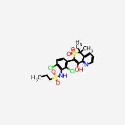 CCCS(=O)(=O)Nc1c(Cl)ccc(C2=C(O)c3ncccc3C(C)(C)S2(=O)=O)c1Cl